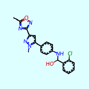 Cc1nc(-c2cc(-c3ccc(NC(O)c4ccccc4Cl)cc3)n(C)n2)no1